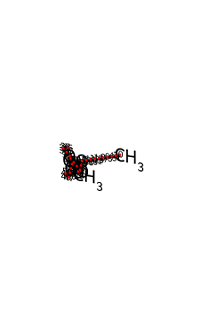 CCCCCCCCCCCCCCCCCCOc1cc(C(=O)OC)cc(N(CC(=O)OCc2ccccc2)CC(=O)OCc2ccccc2)c1